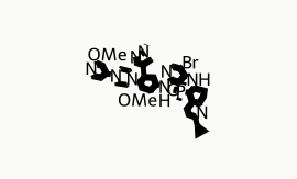 COc1cc(N2CCN(c3cc(OC)c(Nc4cc(Nc5ccc6nc(C7CC7)ccc6c5P(C)(C)=O)c(Br)cn4)cc3-c3cnn(C)c3)CC2)ccn1